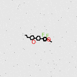 CCCC1CCC(C2CCC(c3ccc(OCC)c(F)c3F)CC2)C(=O)C1